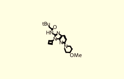 COC1CCN(c2ccc3nc(NC(=O)CC(C)(C)C)n(C4=CC=C4)c3n2)CC1